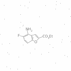 CCOC(=O)c1cc2c(N)c(F)ccc2o1